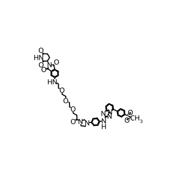 CS(=O)(=O)c1ccc(-c2cccc3nc(Nc4ccc(N5CCN(C(=O)CCOCCOCCOCCNc6ccc7c(c6)C(=O)N(C6CCC(=O)NC6=O)C7=O)C5)cc4)nn23)cc1